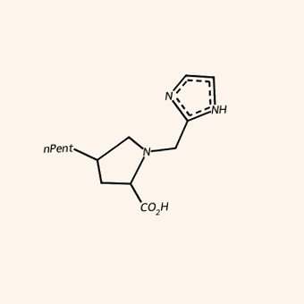 CCCCCC1CC(C(=O)O)N(Cc2ncc[nH]2)C1